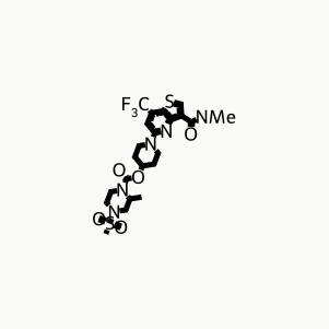 CNC(=O)c1csc2c(C(F)(F)F)cc(N3CCC(OC(=O)N4CCN(S(C)(=O)=O)CC4C)CC3)nc12